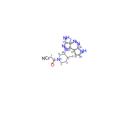 CC1CCN(C(=O)CC#N)CC1n1nc(N)c2nnc3[nH]ccc3c21